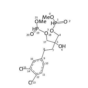 CO[PH](=O)OCC(O)(CCc1ccc(Cl)c(Cl)c1)CO[PH](=O)OC